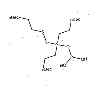 CCCCCCCCCCCCSSS(CCCCCCCCCCCC)(CCCCCCCCCCCC)OP(O)O